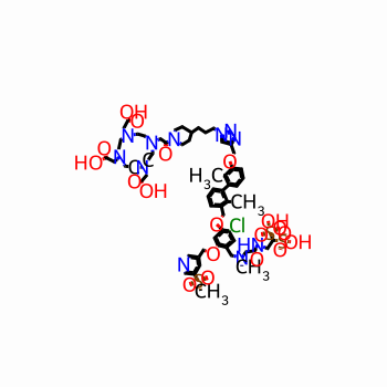 Cc1c(COc2cc(OCc3cncc(S(C)(=O)=O)c3)c(CN(C)CC(=O)NCC(S(=O)(=O)O)S(=O)(=O)O)cc2Cl)cccc1-c1cccc(OCc2cn(CCCC3CCN(C(=O)CN4CCN(CC(=O)O)CCN(CC(=O)O)CCN(CC(=O)O)CC4)CC3)nn2)c1C